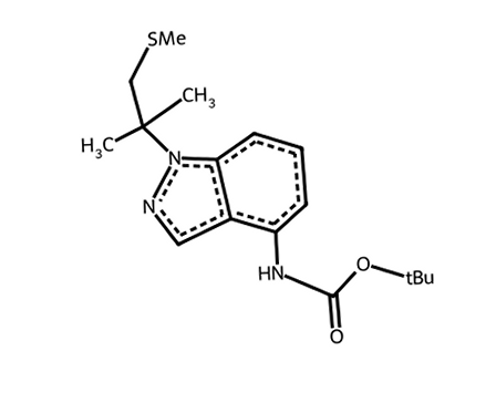 CSCC(C)(C)n1ncc2c(NC(=O)OC(C)(C)C)cccc21